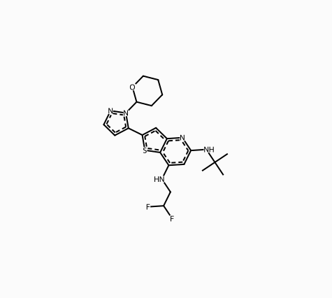 CC(C)(C)Nc1cc(NCC(F)F)c2sc(-c3ccnn3C3CCCCO3)cc2n1